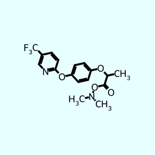 CC(Oc1ccc(Oc2ccc(C(F)(F)F)cn2)cc1)C(=O)ON(C)C